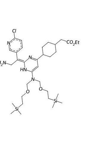 CCOC(=O)CC1CCC(C2=N/C(=C(/CN)c3ccc(Cl)nc3)NC(N(COCC[Si](C)(C)C)COCC[Si](C)(C)C)=C2)CC1